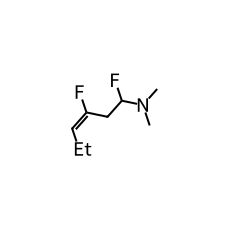 CC/C=C(/F)CC(F)N(C)C